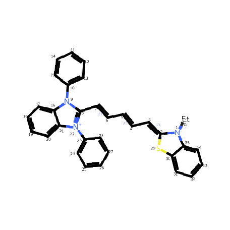 CCN1/C(=C/C=C/C=C/c2n(-c3ccccc3)c3ccccc3[n+]2-c2ccccc2)Sc2ccccc21